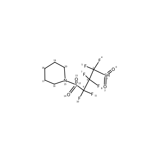 O=[SH](=O)C(F)(F)C(F)(F)C(F)(F)S(=O)(=O)N1CCCCC1